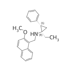 CC[C@@]1(NCc2c(OC)ccc3ccccc23)C[C@H]1c1ccccc1